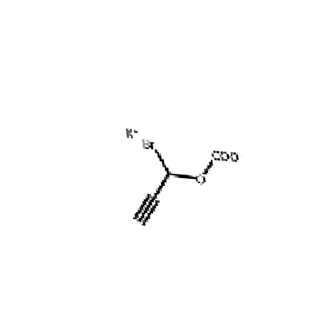 C#CC(Br)OC(=O)[O-].[K+]